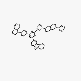 c1ccc(-c2ccc3cc(-c4cccc(-c5nc(-c6ccc(-c7cccc8ccccc78)cc6)nc(-c6ccc7oc8ccccc8c7c6)n5)c4)ccc3c2)cc1